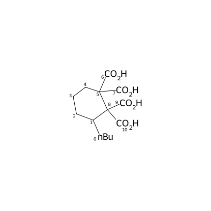 CCCCC1CCCC(C(=O)O)(C(=O)O)C1(C(=O)O)C(=O)O